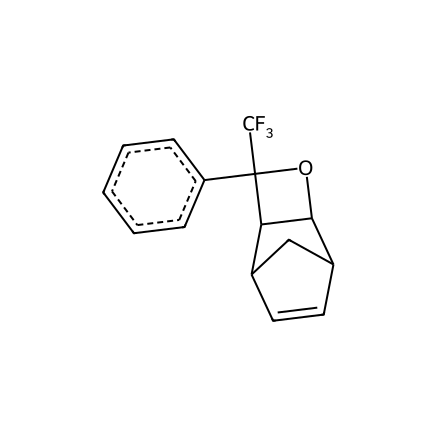 FC(F)(F)C1(c2ccccc2)OC2C3C=CC(C3)C21